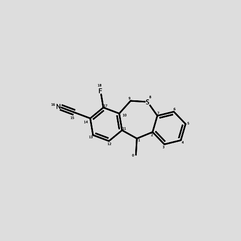 CC1c2ccccc2SCc2c1ccc(C#N)c2F